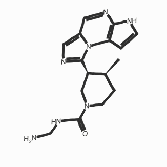 C[C@H]1CCN(C(=O)NCN)C[C@H]1c1ncc2cnc3[nH]ccc3n12